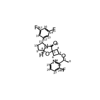 C[C@H](OC1CC2(C1)O[C@@H]1CC[C@@H](c3cc(F)cc(F)c3)N1C2=O)c1ncccc1F